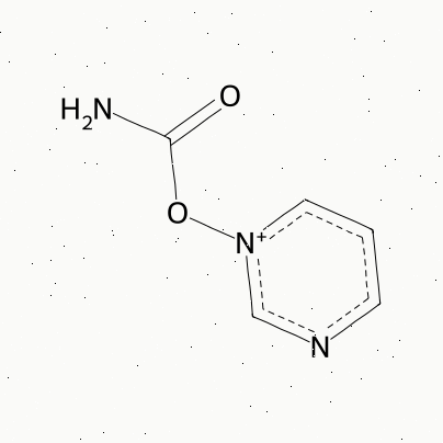 NC(=O)O[n+]1cccnc1